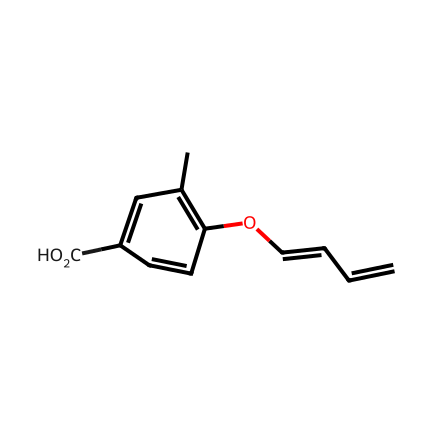 C=C/C=C/Oc1ccc(C(=O)O)cc1C